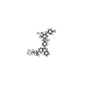 CC(C)(C)OC(=O)N1CC[C@@H](C(=O)N2CCC(O)(Cn3cnc(Oc4ccc(Cl)cc4)c(N)c3=O)CC2)[C@H](c2ccccc2)C1